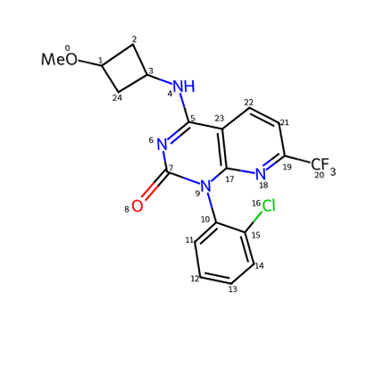 COC1CC(Nc2nc(=O)n(-c3ccccc3Cl)c3nc(C(F)(F)F)ccc23)C1